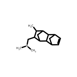 CC1C(CN(C)C)C2CC1C1C3C=CC(C3)C21